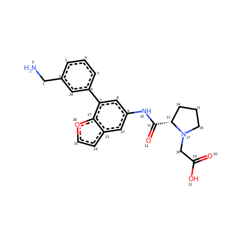 NCc1cccc(-c2cc(NC(=O)[C@@H]3CCCN3CC(=O)O)cc3ccoc23)c1